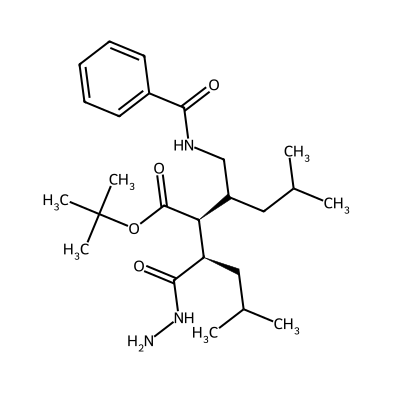 CC(C)CC(CNC(=O)c1ccccc1)[C@H](C(=O)OC(C)(C)C)[C@@H](CC(C)C)C(=O)NN